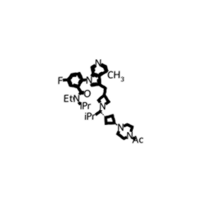 CCN(C(=O)c1cc(F)ccc1-n1cc(CC2CN(C(C(C)C)[C@H]3C[C@@H](N4CCN(C(C)=O)CC4)C3)C2)c2c(C)cncc21)C(C)C